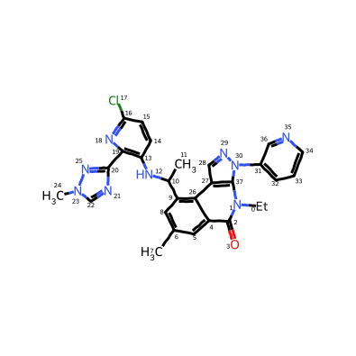 CCn1c(=O)c2cc(C)cc(C(C)Nc3ccc(Cl)nc3-c3ncn(C)n3)c2c2cnn(-c3cccnc3)c21